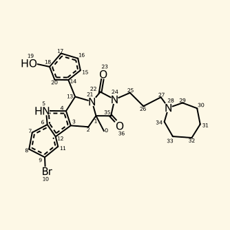 CC12Cc3c([nH]c4ccc(Br)cc34)C(c3cccc(O)c3)N1C(=O)N(CCCN1CCCCCC1)C2=O